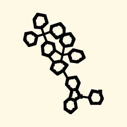 c1ccc(C(c2ccccc2)(c2ccccc2)c2ccc3c(c2)C(c2ccccc2)(c2ccccc2)c2cc(-c4ccc5c(c4)c4ccccc4n5-c4cccnc4)ccc2-3)cc1